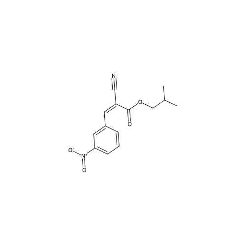 CC(C)COC(=O)C(C#N)=Cc1cccc([N+](=O)[O-])c1